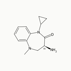 CN1C[C@H](N)C(=O)N(C2CC2)c2ccccc21